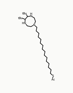 CC(=O)SCCCCCCCCCCCCCCCCN1CCNC(C(C)(C)C)C(C(C)(C)C)NCC1